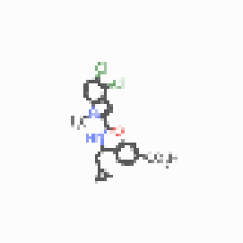 Cn1c(C(=O)NC(CC2CC2)c2ccc(C(=O)O)cc2)cc2c(Cl)c(Cl)ccc21